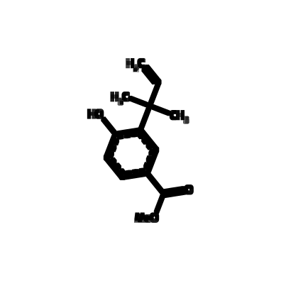 C=CC(C)(C)c1cc(C(=O)OC)ccc1O